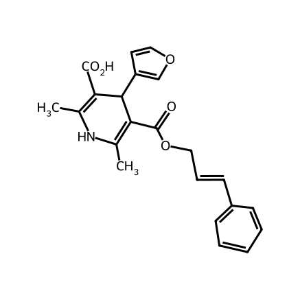 CC1=C(C(=O)O)C(c2ccoc2)C(C(=O)OC/C=C/c2ccccc2)=C(C)N1